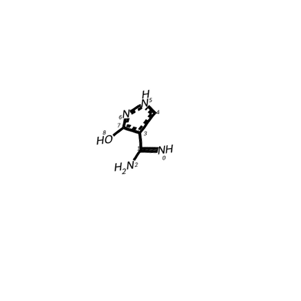 N=C(N)c1c[nH]nc1O